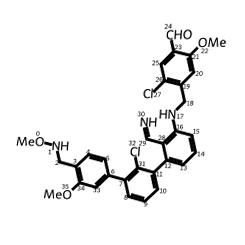 CONCc1ccc(-c2cccc(-c3cccc(NCc4cc(OC)c(C=O)cc4Cl)c3C=N)c2Cl)cc1OC